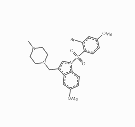 COc1ccc(S(=O)(=O)n2cc(CN3CCN(C)CC3)c3cc(OC)ccc32)c(Br)c1